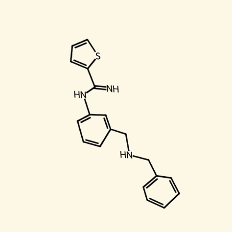 N=C(Nc1cccc(CNCc2ccccc2)c1)c1cccs1